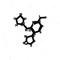 CCc1ccc(C2CCOC2)c(CN2CCCC2)n1